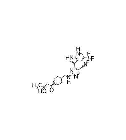 C[C@@H](O)CC(=O)N1CCC(CNc2ncc(C#N)c(-c3c[nH]c4c3C=C(C(F)(F)F)CN4)n2)CC1